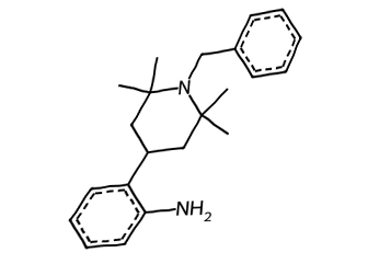 CC1(C)CC(c2ccccc2N)CC(C)(C)N1Cc1ccccc1